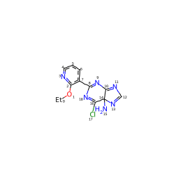 CCOc1ncccc1C1=NC2=NC=NC2(N)C(Cl)=N1